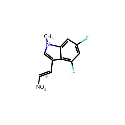 Cn1cc(/C=C/[N+](=O)[O-])c2c(F)cc(F)cc21